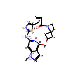 C=CC(=O)N1CCC12CC(Oc1nc(Nc3ncc(C)s3)cc3c1ccn3C)C2